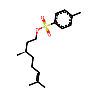 CC(C)=CCC[C@@H](C)CCOS(=O)(=O)c1ccc(C)cc1